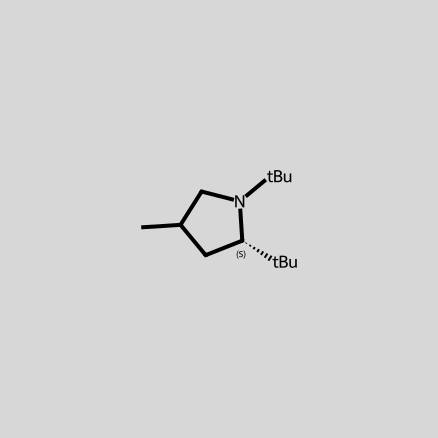 CC1C[C@@H](C(C)(C)C)N(C(C)(C)C)C1